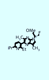 CCc1nc(C(C)C)ccc1-c1nc2c(C)cn([C@@H](CF)COC)c2nc1C